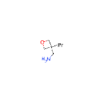 CC(C)C1(CN)COC1